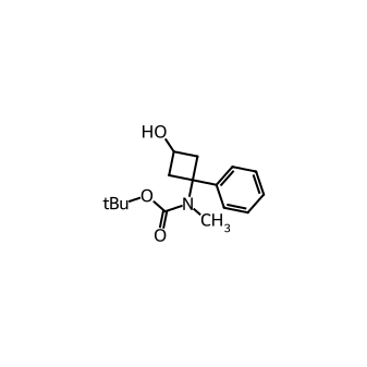 CN(C(=O)OC(C)(C)C)C1(c2ccccc2)CC(O)C1